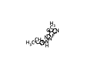 Cc1cncc(F)c1C(=O)c1cnc(Nc2ccc(CC(C)C)cc2)nc1